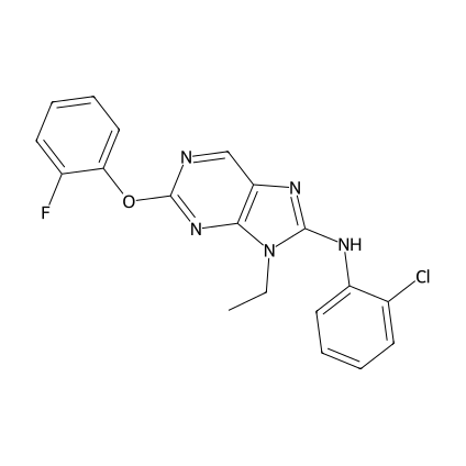 CCn1c(Nc2ccccc2Cl)nc2cnc(Oc3ccccc3F)nc21